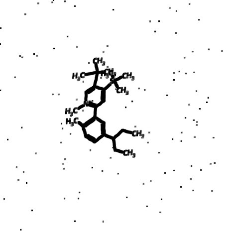 CCC(CC)c1ccc(C)c(-c2cc([Si](C)(C)C)c(C(C)(C)C)c[n+]2C)c1